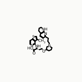 Cc1csc2ccnc(N[C@H](CCO[C@@H]3CCCN(CCCc4ccc5c(n4)NCCC5)C3)C(=O)O)c12